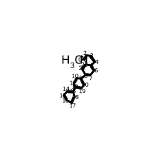 C[n+]1cccc2ccc(-c3ccc(-c4ccccc4)cc3)cc21